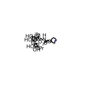 CC(C)[C@@H]1C(C(=O)NCCNC(=O)CO[C@H]2CC/C=C/CCC2)O[C@@H](O[C@@H]2C(C(=O)O)O[C@@H](C(C)C)[C@@H](O)C2O)[C@@H](O)C1O